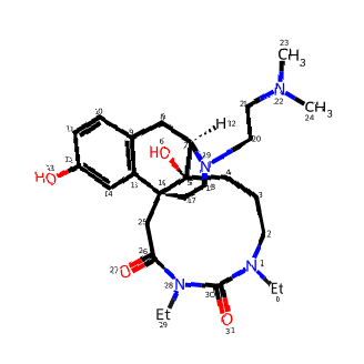 CCN1CCC[C@@]2(O)[C@H]3Cc4ccc(O)cc4[C@@]2(CCN3CCN(C)C)CC(=O)N(CC)C1=O